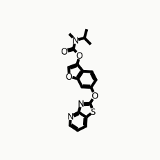 CC(C)N(C)C(=O)Oc1coc2cc(Oc3nc4ncccc4s3)ccc12